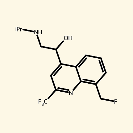 CC(C)NCC(O)c1cc(C(F)(F)F)nc2c(CF)cccc12